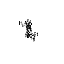 CCc1cc(F)cc2[nH]c(C(=O)N3CCc4nc(NC(=O)C5(C)CC5)sc4C3)cc12